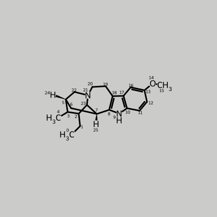 CCC1C(C)[C@H]2C[C@H]3c4[nH]c5ccc(OC)cc5c4CCN(C2)C13